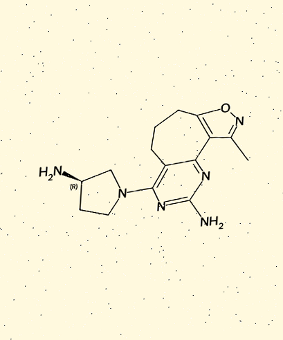 Cc1noc2c1-c1nc(N)nc(N3CC[C@@H](N)C3)c1CCC2